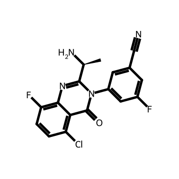 C[C@H](N)c1nc2c(F)ccc(Cl)c2c(=O)n1-c1cc(F)cc(C#N)c1